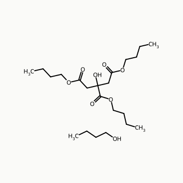 CCCCO.CCCCOC(=O)CC(O)(CC(=O)OCCCC)C(=O)OCCCC